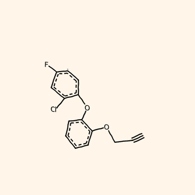 C#CCOc1ccccc1Oc1c[c]c(F)cc1Cl